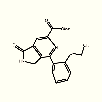 COC(=O)c1cc2c(c(-c3ccccc3OCC(F)(F)F)n1)CNC2=O